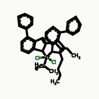 CCCCC1=Cc2c(-c3ccccc3)cccc2[CH]1[Zr]([Cl])([Cl])([CH]1C(CCCC)=Cc2c(-c3ccccc3)cccc21)[SiH](C)C